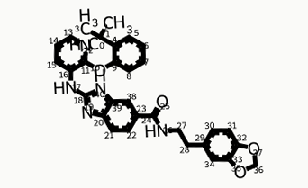 CC(C)(C)c1ccccc1Oc1ncccc1Nc1nc2ccc(C(=O)NCCc3ccc4c(c3)OCO4)cc2[nH]1